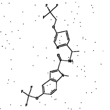 CC(NC(=O)c1cc2cc(OC(F)(F)F)ccc2n1C)c1ccc(OCC(F)(F)F)cn1